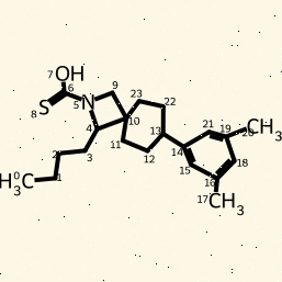 CCCCC1N(C(O)=S)CC12CCC(c1cc(C)cc(C)c1)CC2